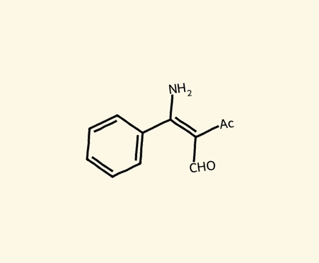 CC(=O)/C(C=O)=C(\N)c1ccccc1